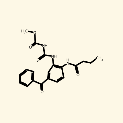 CCCC(=O)Nc1ccc(C(=O)c2ccccc2)cc1NC(=S)NC(=O)OC